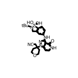 CC(C)(C)N1Cc2cc(Nc3nn(C4(CC#N)CCOCC4)c4cc[nH]c(=O)c34)ccc2S1(O)O